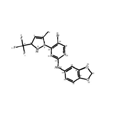 CC1=CC(C(F)(F)F)NN1c1nc(Nc2ccc3c(c2)OCO3)ncc1Br